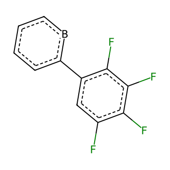 Fc1cc(-c2bcccc2)c(F)c(F)c1F